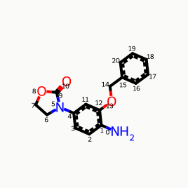 Nc1ccc(N2CCOC2=O)cc1OCc1ccccc1